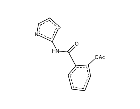 CC(=O)Oc1ccccc1C(=O)Nc1nccs1